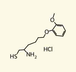 COc1ccccc1OCCCCC(N)CS.Cl